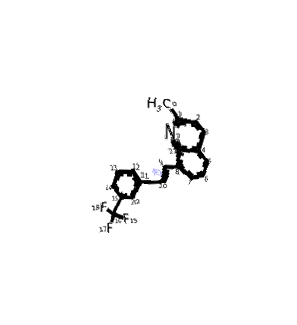 Cc1ccc2cccc(/C=C/c3cccc(C(F)(F)F)c3)c2n1